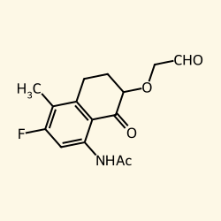 CC(=O)Nc1cc(F)c(C)c2c1C(=O)C(OCC=O)CC2